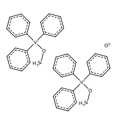 [O-2].[SiH3][O][V+]([c]1ccccc1)([c]1ccccc1)[c]1ccccc1.[SiH3][O][V+]([c]1ccccc1)([c]1ccccc1)[c]1ccccc1